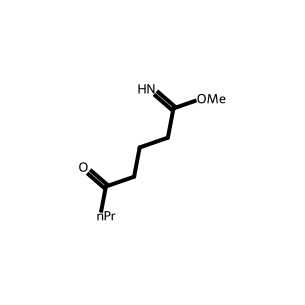 CCCC(=O)CCCC(=N)OC